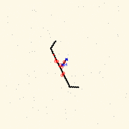 CCCCCCCC/C=C\CCCCCCCCCCCC(=O)OCCCCCC(CCCCCOC(=O)CCCCCCCCCCC/C=C\CCCCCCCC)OC(=O)NCCOCCN(C)C